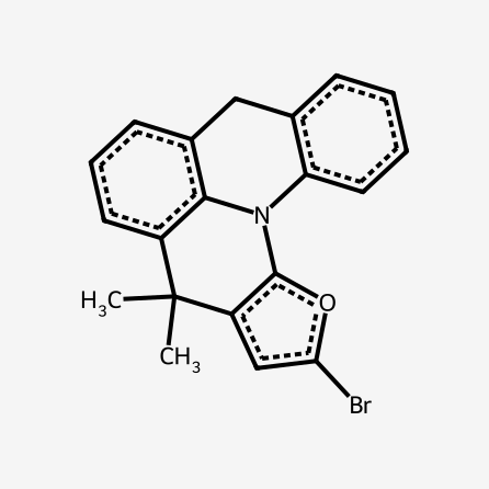 CC1(C)c2cc(Br)oc2N2c3ccccc3Cc3cccc1c32